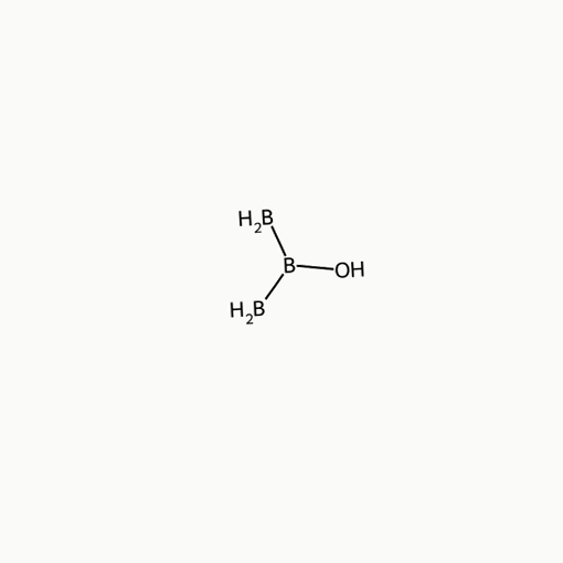 BB(B)O